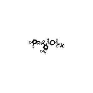 COc1ccc(CNC(=O)c2cc([N+](=O)[O-])ccc2N[C@H]2CC[C@@H](NC(=O)OC(C)(C)C)CC2)cc1OC